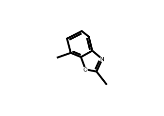 Cc1nc2cccc(C)c2o1